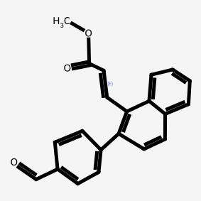 COC(=O)/C=C/c1c(-c2ccc(C=O)cc2)ccc2ccccc12